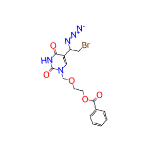 [N-]=[N+]=NC(CBr)c1cn(COCCOC(=O)c2ccccc2)c(=O)[nH]c1=O